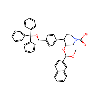 COC(OC1CN(C(=O)O)CCC1c1ccc(COC(c2ccccc2)(c2ccccc2)c2ccccc2)cc1)c1ccc2ccccc2c1